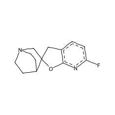 Fc1ccc2c(n1)OC1(C2)CN2CCC1CC2